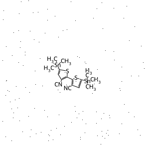 [CH3][Sn]([CH3])([CH3])[c]1cc(C#N)c(-c2s[c]([Sn]([CH3])([CH3])[CH3])cc2C#N)s1